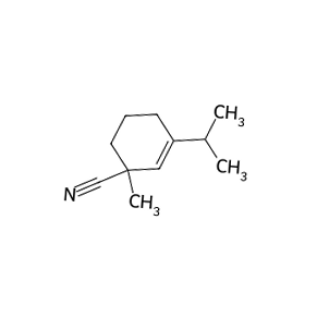 CC(C)C1=CC(C)(C#N)CCC1